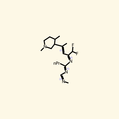 CCCC(=N\C=N/C)/N=C(\C=C(/C)C1CN(C)CCC1C)C(F)F